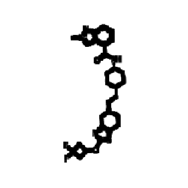 Cn1cc2c(C(=O)N[C@H]3CC[C@H](CCN4CCc5sc(OC6CC(F)(F)C6)nc5C4)CC3)cccc2n1